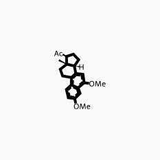 COc1ccc2c3c(cc(OC)c2c1)[C@@H]1CC[C@H](C(C)=O)[C@@]1(C)CC3